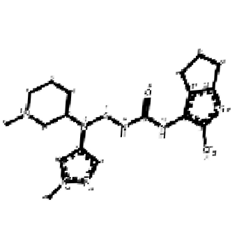 CN1CCCC(N(SNC(=O)Nc2c(C(F)(F)F)sc3c2CCC3)c2cnn(C)c2)C1